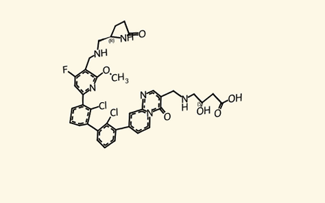 COc1nc(-c2cccc(-c3cccc(-c4ccn5c(=O)c(CNC[C@@H](O)CC(=O)O)cnc5c4)c3Cl)c2Cl)cc(F)c1CNC[C@H]1CCC(=O)N1